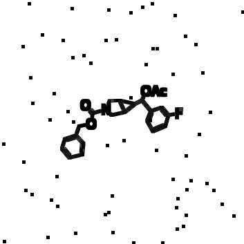 CC(=O)OC(c1cccc(F)c1)C1C2CN(C(=O)OCc3ccccc3)CC21